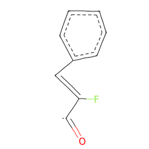 O=[C]/C(F)=C/c1ccccc1